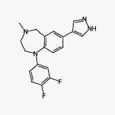 CN1CCN(c2ccc(F)c(F)c2)c2ccc(-c3cn[nH]c3)cc2C1